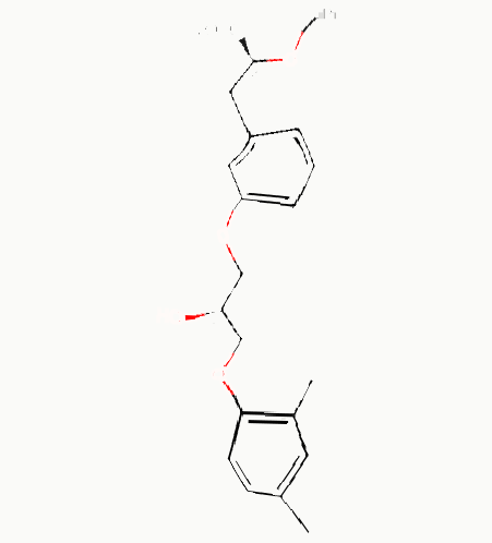 Cc1ccc(OC[C@@H](O)COc2cccc(C[C@H](OC(C)C)C(=O)O)c2)c(C)c1